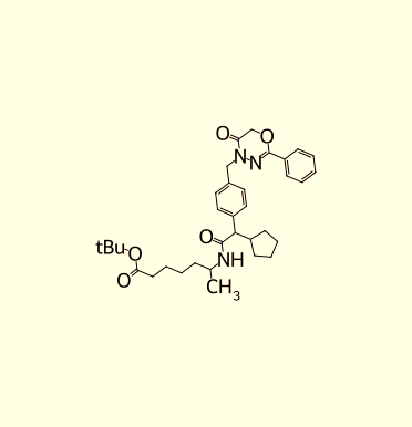 CC(CCCCC(=O)OC(C)(C)C)NC(=O)C(c1ccc(CN2N=C(c3ccccc3)OCC2=O)cc1)C1CCCC1